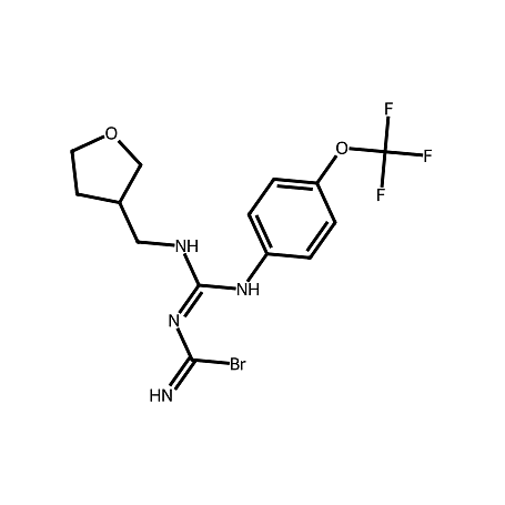 N=C(Br)/N=C(/NCC1CCOC1)Nc1ccc(OC(F)(F)F)cc1